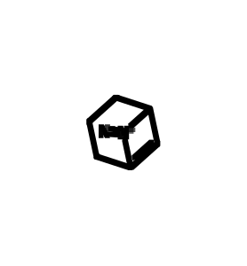 [N-]=[N+]1C2=CC1CCC2